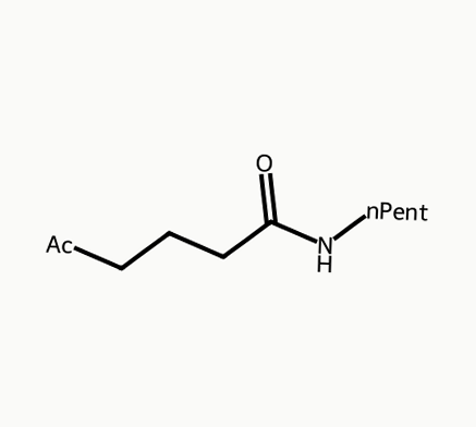 CCCCCNC(=O)CCCC(C)=O